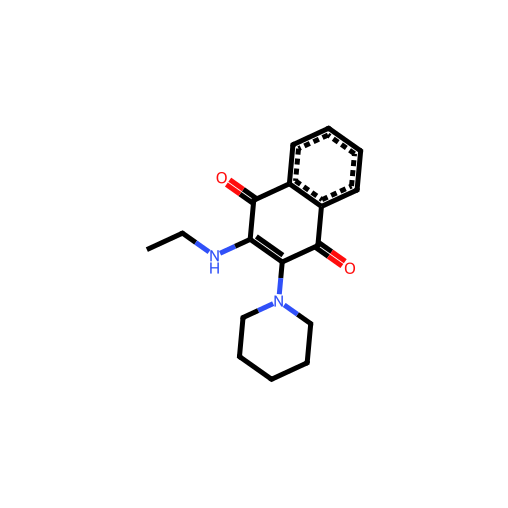 CCNC1=C(N2CCCCC2)C(=O)c2ccccc2C1=O